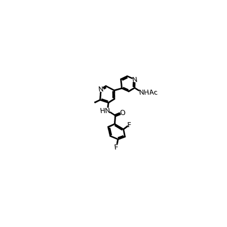 CC(=O)Nc1cc(-c2cnc(C)c(NC(=O)c3ccc(F)cc3F)c2)ccn1